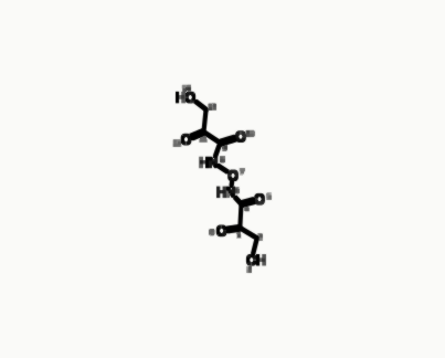 O=C(CO)C(=O)NONC(=O)C(=O)CO